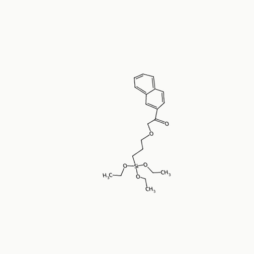 CCO[Si](CCCOCC(=O)c1ccc2ccccc2c1)(OCC)OCC